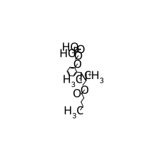 CCCCC(=O)OCC[N+](C)(C)Cc1ccccc1OCOP(=O)(O)O